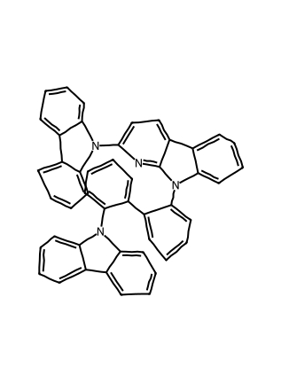 c1ccc(-n2c3ccccc3c3ccccc32)c(-c2ccccc2-n2c3ccccc3c3ccc(-n4c5ccccc5c5ccccc54)nc32)c1